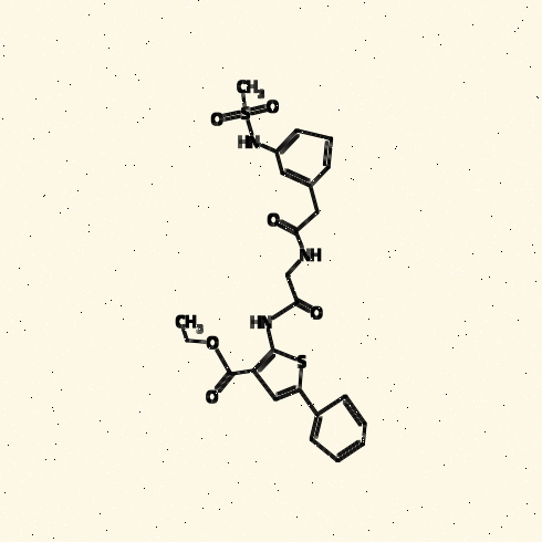 CCOC(=O)c1cc(-c2ccccc2)sc1NC(=O)CNC(=O)Cc1cccc(NS(C)(=O)=O)c1